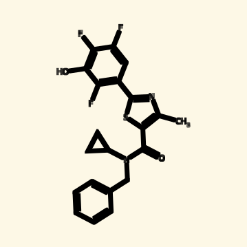 Cc1nc(-c2cc(F)c(F)c(O)c2F)sc1C(=O)N(Cc1ccccc1)C1CC1